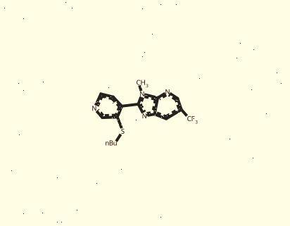 CCCCSc1cnccc1-c1nc2cc(C(F)(F)F)cnc2n1C